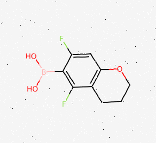 OB(O)c1c(F)cc2c(c1F)CCCO2